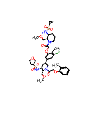 COC[C@H]1C(NS(=O)(=O)C2CC2)CCCN1C(=O)COc1cc(C2C[C@H](NS(=O)(=O)C3CCOC3)[C@H](COC)N(C(=O)COc3ccccc3C)C2)cc(F)c1C